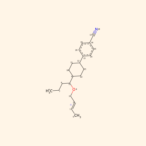 C/C=C/COC(CCC)C1CCC(c2ccc(C#N)cc2)CC1